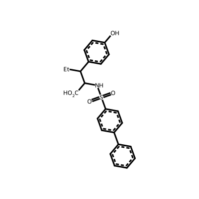 CCC(c1ccc(O)cc1)C(NS(=O)(=O)c1ccc(-c2ccccc2)cc1)C(=O)O